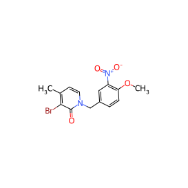 COc1ccc(Cn2ccc(C)c(Br)c2=O)cc1[N+](=O)[O-]